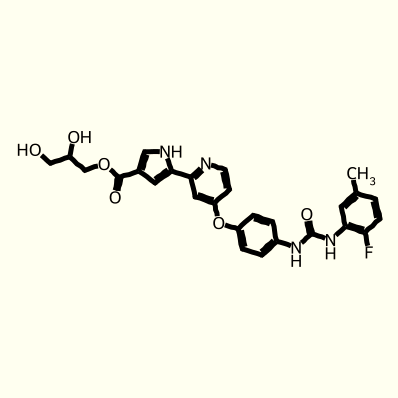 Cc1ccc(F)c(NC(=O)Nc2ccc(Oc3ccnc(-c4cc(C(=O)OCC(O)CO)c[nH]4)c3)cc2)c1